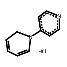 C1=CCN(c2ccncc2)C=C1.Cl